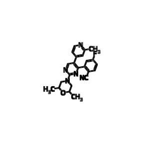 Cc1cc(-c2cnc(N3CC(C)OC(C)C3)nc2-c2cc(F)ccc2C#N)ccn1